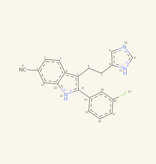 N#Cc1ccc2c(CCc3cnc[nH]3)c(-c3cccc(F)c3)[nH]c2c1